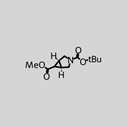 COC(=O)C1[C@H]2CN(C(=O)OC(C)(C)C)C[C@@H]12